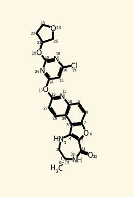 C[C@@H]1CNc2c(oc3ccc4nc(Oc5cc(Cl)nc(OC6CCOC6)n5)ccc4c23)C(=O)N1